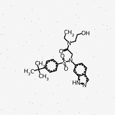 CCN(CCO)C(=O)CN(c1ccc2cn[nH]c2c1)S(=O)(=O)c1ccc(C(C)(C)C)cc1